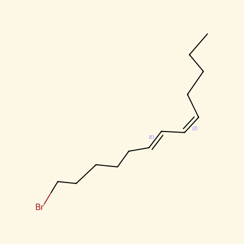 CCCC/C=C\C=C\CCCCCBr